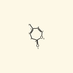 CC1=CCC(=O)OC=C1